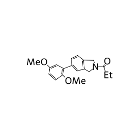 CCC(=O)N1Cc2ccc(-c3cc(OC)ccc3OC)cc2C1